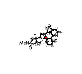 CNS(=O)(=O)N[C@@H]1Cn2c(cn(-c3noc4cc(C)nc(-c5c(F)cccc5F)c34)c2=O)C1(F)F